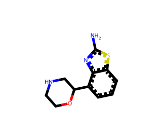 Nc1nc2c(C3CNCCO3)cccc2s1